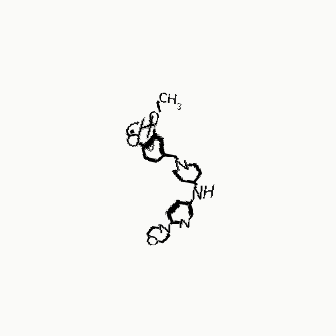 CCCOc1cc(CN2CCC(Nc3ccc(N4CCOCC4)nc3)CC2)ccc1OC